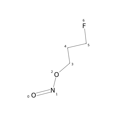 O=NOCCCF